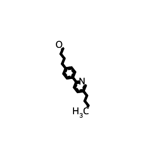 CCCCc1ccc(-c2ccc(CCCC=O)cc2)nc1